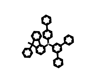 CC1(c2ccccc2)c2ccccc2-c2c(N(c3ccc(-c4ccccc4)cc3)c3cc(-c4ccccc4)cc(-c4ccccc4)c3)cccc21